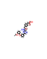 CCOc1ccccc1Oc1cccc(-c2cncc(NC(=O)Cc3ccc(CC(=O)O)cc3)n2)c1